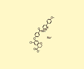 COc1ccc(-c2ccc(NC(=O)c3ccc(Oc4cc5c(cc4Cl)C(C(=O)[O-])CCO5)cc3)nn2)cc1.[Na+]